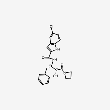 O=C(N[C@@H](Cc1ccccc1)[C@@H](O)C(=O)N1CCC1)c1cc2cc(Cl)ncc2[nH]1